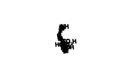 O=C(O)C(Cc1ccc(OCCCCC2CCNCC2)cc1)NC(O)C1=Nc2ccccc2C1CO